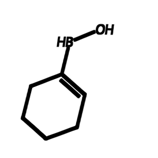 OBC1=CCCCC1